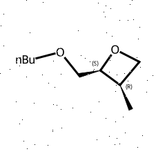 CCCCOC[C@H]1OC[C@H]1C